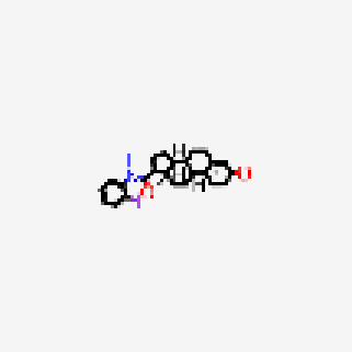 C[C@]12CCC(=O)C=C1CC[C@@H]1[C@H]2CC[C@]2(C)C(C(=O)Nc3ccccc3I)CC[C@@H]12